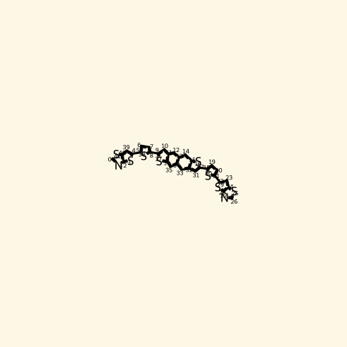 c1nc2sc(-c3ccc(-c4cc5cc6cc7sc(-c8ccc(-c9cc%10scnc%10s9)s8)cc7cc6cc5s4)s3)cc2s1